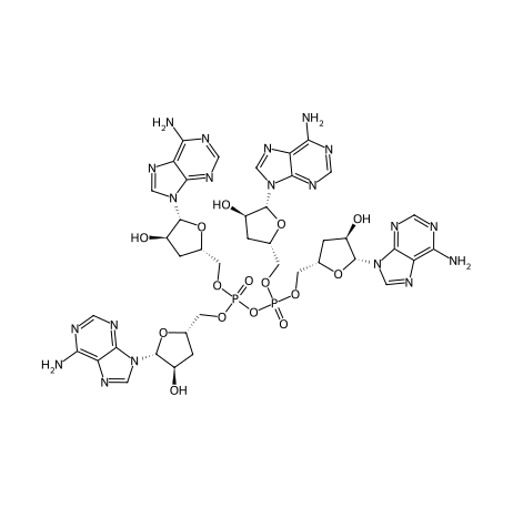 Nc1ncnc2c1ncn2[C@@H]1O[C@H](COP(=O)(OC[C@@H]2C[C@@H](O)[C@H](n3cnc4c(N)ncnc43)O2)OP(=O)(OC[C@@H]2C[C@@H](O)[C@H](n3cnc4c(N)ncnc43)O2)OC[C@@H]2C[C@@H](O)[C@H](n3cnc4c(N)ncnc43)O2)C[C@H]1O